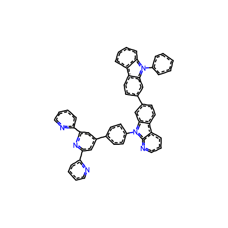 c1ccc(-n2c3ccccc3c3ccc(-c4ccc5c6cccnc6n(-c6ccc(-c7cc(-c8ccccn8)nc(-c8ccccn8)c7)cc6)c5c4)cc32)cc1